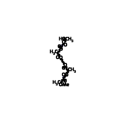 COC(C)CCC(=O)/C=C/C(=O)OCCC(C)CCC(=O)OCCCCCOC(=O)CCC(C)CCOC(=O)/C=C/C(=O)OCC(C)O